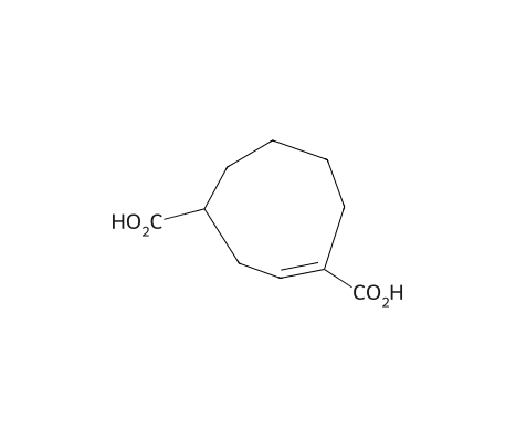 O=C(O)C1=CCC(C(=O)O)CCCC1